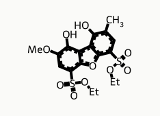 CCOS(=O)(=O)c1cc(C)c(O)c2c1oc1c(S(=O)(=O)OCC)cc(OC)c(O)c12